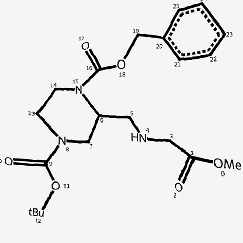 COC(=O)CNCC1CN(C(=O)OC(C)(C)C)CCN1C(=O)OCc1ccccc1